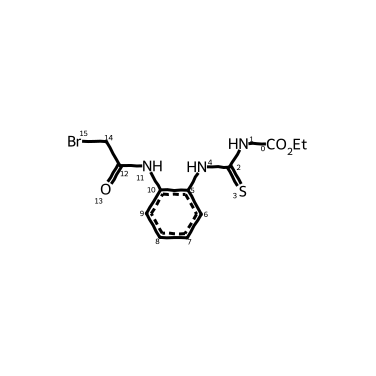 CCOC(=O)NC(=S)Nc1ccccc1NC(=O)CBr